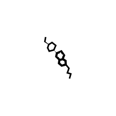 CCCCc1ccc2cc([C@H]3CC[C@H](CC)CC3)ccc2c1